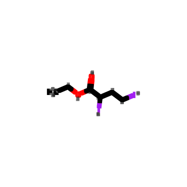 CCOC(=O)C(I)CCI